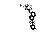 N=C(N)NC(=O)C[C@H]1CCCc2cc(S(=O)(=O)c3cccc(F)c3)ccc21